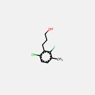 Cc1ccc(Cl)c(CCCO)c1F